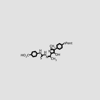 CCCCCc1ccc(-c2c(O)c(/C(C)=N\NC(=S)Nc3ccc(C(=O)O)cc3)nn2C)cc1